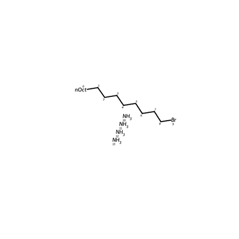 CCCCCCCCCCCCCCCCBr.N.N.N.N